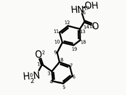 NC(=O)c1ccccc1Cc1ccc(C(=O)NO)cc1